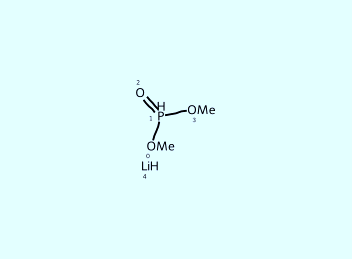 CO[PH](=O)OC.[LiH]